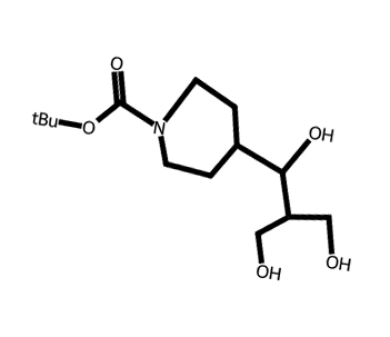 CC(C)(C)OC(=O)N1CCC(C(O)C(CO)CO)CC1